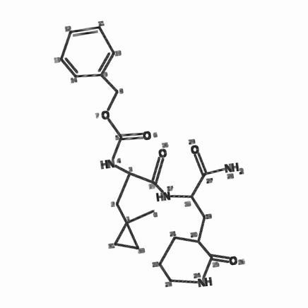 CC1(CC(NC(=O)OCc2ccccc2)C(=O)NC(CC2CCCNC2=O)C(N)=O)CC1